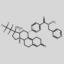 CN(Cc1ccncc1)C(=O)c1ccc([C@H]2C[C@@]3(C)[C@@H](CCC3(O)C(F)(F)C(F)(F)F)C3CCC4=CC(=O)CCC4=C32)cc1